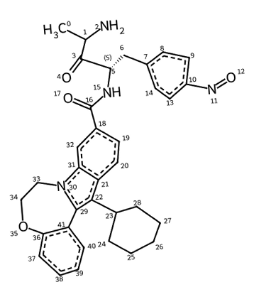 CC(N)C(=O)[C@H](Cc1ccc(N=O)cc1)NC(=O)c1ccc2c(C3CCCCC3)c3n(c2c1)CCOc1ccccc1-3